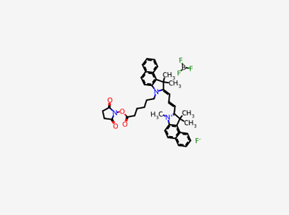 C[N+]1=C(C=CC=C2N(CCCCCC(=O)ON3C(=O)CCC3=O)c3ccc4ccccc4c3C2(C)C)C(C)(C)c2c1ccc1ccccc21.FB(F)F.[F-]